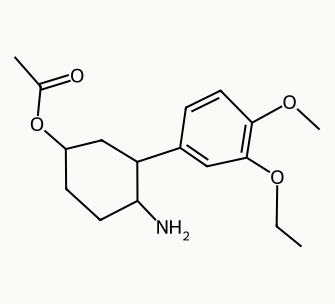 CCOc1cc(C2CC(OC(C)=O)CCC2N)ccc1OC